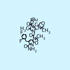 C[C@@H]1CN(CC(=O)N2c3cc(Cc4ccc(F)cc4F)c(C(N)=O)nc3OC[C@@H]2C)[C@@H](CN2[C@H](C)COC[C@H]2C)CN1C(=O)OC(C)(C)C